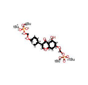 CC(C)(C)OP(=O)(OCOc1ccc(-c2coc3cc(OCOP(=O)(OC(C)(C)C)OC(C)(C)C)cc(O)c3c2=O)cc1)OC(C)(C)C